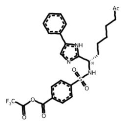 CC(=O)CCCCC[C@H](NS(=O)(=O)c1ccc(C(=O)OC(=O)C(F)(F)F)cc1)c1ncc(-c2ccccc2)[nH]1